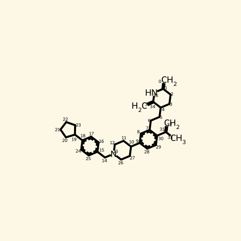 C=C1CCC(CCc2cc(C3CCN(Cc4ccc(C5CCCC5)cc4)CC3)ccc2C(=C)C)C(=C)N1